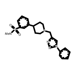 CNS(=O)(=O)c1cccc(C2CCN(Cc3cn(-c4ccccc4)nn3)CC2)c1